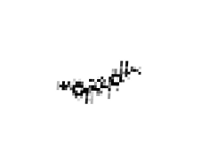 CC(=O)CNc1ccc(NC(=O)CC(=O)Nc2ccc(C#N)cc2)cc1